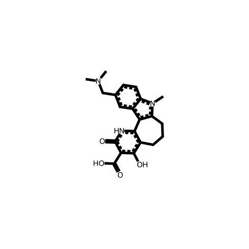 CN(C)Cc1ccc2c(c1)c1c(n2C)CCCc2c-1[nH]c(=O)c(C(=O)O)c2O